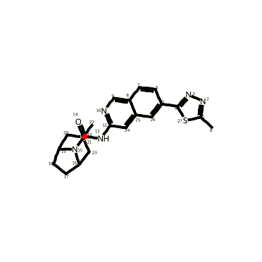 Cc1nnc(-c2ccc3cnc(NC(=O)N4C5CCC4CN(C)C5)cc3c2)s1